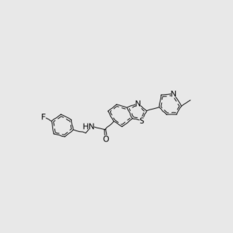 Cc1ccc(-c2nc3ccc(C(=O)NCc4ccc(F)cc4)cc3s2)cn1